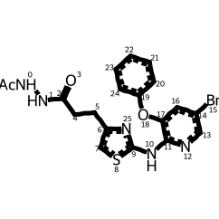 CC(=O)NNC(=O)CCc1csc(Nc2ncc(Br)cc2Oc2ccccc2)n1